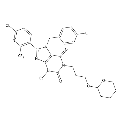 CCn1c(=O)n(CCCOC2CCCCO2)c(=O)c2c1nc(-c1ccc(Cl)nc1C(F)(F)F)n2Cc1ccc(Cl)cc1